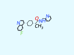 CC(C(=O)NCc1ccccn1)[C@H]1CC[C@@H](c2ccnc3ccc(F)cc32)CC1